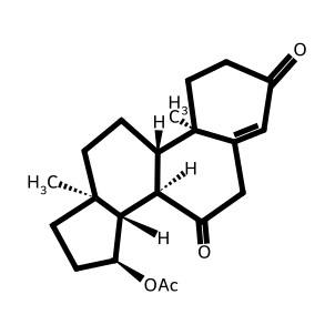 CC(=O)O[C@H]1CC[C@@]2(C)CC[C@H]3[C@@H](C(=O)CC4=CC(=O)CC[C@@]43C)[C@H]12